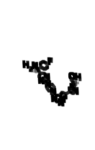 C[C@@H](CO)n1cc(-c2cc3c(N4CCN(c5ncc([C@@](C)(N)c6ccc(F)cc6)cn5)CC4)ncnn3c2)cn1